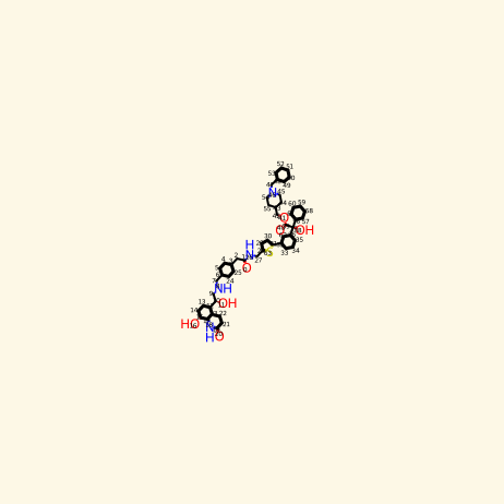 O=C(Cc1ccc(CNC[C@H](O)c2ccc(O)c3[nH]c(=O)ccc23)cc1)NCc1ccc(-c2cccc(C(O)(C(=O)OCC3CCN(Cc4ccccc4)CC3)c3ccccc3)c2)s1